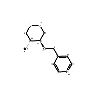 O[C@@H]1CSSC[C@H]1OCc1ccncc1